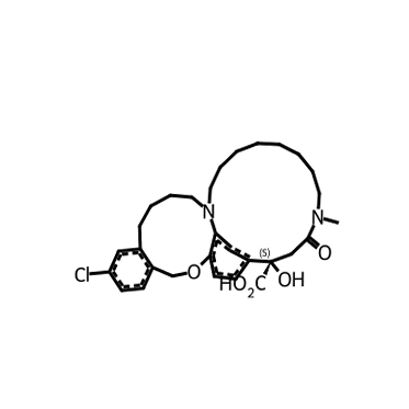 CN1CCCCCCCCN2CCCCc3cc(Cl)ccc3COc3ccc(cc32)[C@](O)(C(=O)O)CC1=O